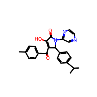 Cc1ccc(C(=O)C2=C(O)C(=O)N(c3cnccn3)C2c2ccc(C(C)C)cc2)cc1